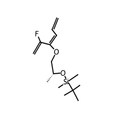 C=C/C=C(/OC[C@@H](C)O[Si](C)(C)C(C)(C)C)C(=C)F